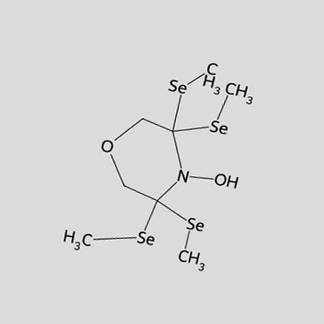 C[Se]C1([Se]C)COCC([Se]C)([Se]C)N1O